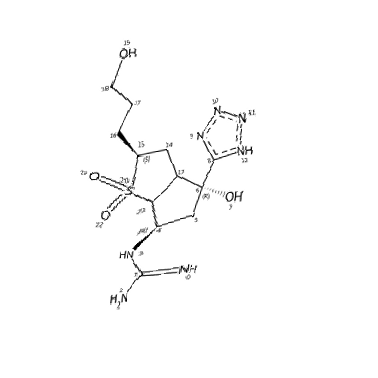 N=C(N)N[C@@H]1C[C@](O)(c2nnn[nH]2)C2C[C@H](CCCO)S(=O)(=O)C21